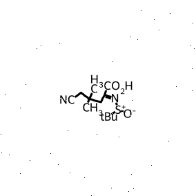 CC(C)(CC#N)C/C(=N\[S+]([O-])C(C)(C)C)C(=O)O